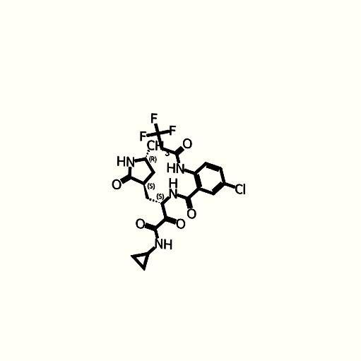 C[C@@H]1C[C@@H](C[C@H](NC(=O)c2cc(Cl)ccc2NC(=O)CC(F)(F)F)C(=O)C(=O)NC2CC2)C(=O)N1